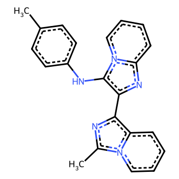 Cc1ccc(Nc2c(-c3nc(C)n4ccccc34)nc3ccccn23)cc1